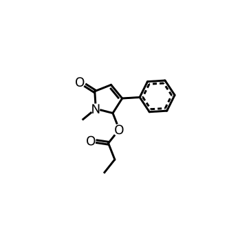 CCC(=O)OC1C(c2ccccc2)=CC(=O)N1C